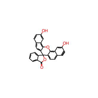 O=C1OC2(c3ccccc31)c1ccc3c#cc(O)cc3c1Oc1c2ccc2ccc(O)cc12